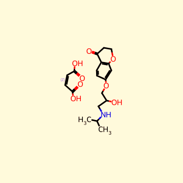 CC(C)NCC(O)COc1ccc2c(c1)OCCC2=O.O=C(O)/C=C\C(=O)O